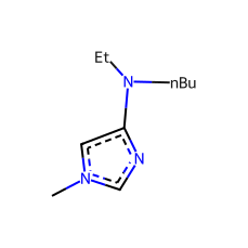 CCCCN(CC)c1cn(C)cn1